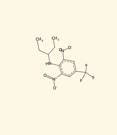 CCC(CC)Nc1c([N+](=O)[O-])cc(C(F)(F)F)cc1[N+](=O)[O-]